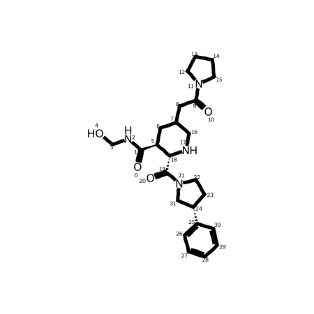 O=C(NCO)[C@H]1CC(CC(=O)N2CCCC2)CN[C@@H]1C(=O)N1CC[C@H](c2ccccc2)C1